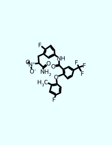 Cc1cc(F)ccc1Oc1ccc(C(F)(F)F)cc1C(=O)Nc1ccc(F)c(CC(C(N)=O)[N+](=O)[O-])c1